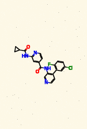 O=C(Nc1cnccc1-c1cc(Cl)ccc1F)c1ccnc(NC(=O)C2CC2)c1